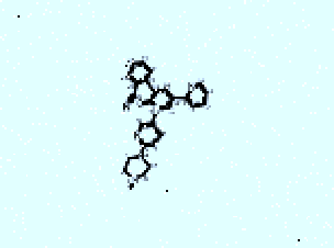 CN1CCN(c2ccc(-n3cc(-c4ccccn4)cc(-c4ccccc4C#N)c3=O)cn2)CC1